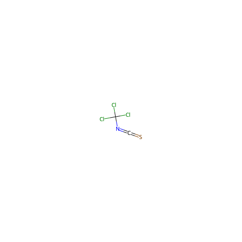 S=C=NC(Cl)(Cl)Cl